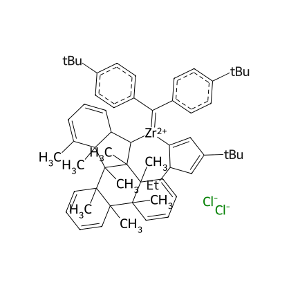 CCC1C=C(C(C)(C)C)C=[C]1[Zr+2](=[C](c1ccc(C(C)(C)C)cc1)c1ccc(C(C)(C)C)cc1)[CH]1C2C=CC=C(C)C2(C)C2(C)C3(C)C=CC=CC3(C)C3(C)C=CC=CC3(C)C12C.[Cl-].[Cl-]